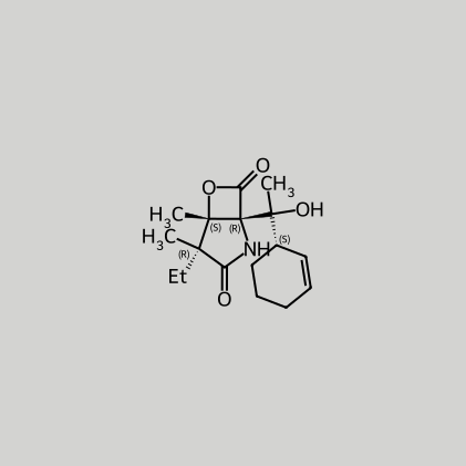 CC[C@@]1(C)C(=O)N[C@@]2(C(C)(O)[C@@H]3C=CCCC3)C(=O)O[C@@]12C